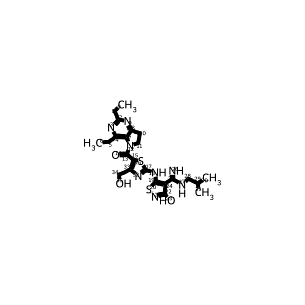 CCc1nc(CC)c2c(n1)CCN2C(=O)c1sc(Nc2snc(O)c2C(=N)NCC(C)C)nc1CO